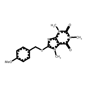 COc1ccc(CSc2nc3c(c(=O)n(C)c(=O)n3C)n2C)cc1